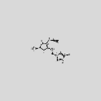 BC1CC(OCn2cc(C)nn2)C(CC#C)O1